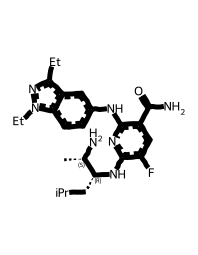 CCc1nn(CC)c2ccc(Nc3nc(N[C@H](CC(C)C)[C@H](C)N)c(F)cc3C(N)=O)cc12